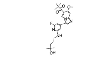 COc1cc2ncc(-c3cc(F)nc(NCCCC(C)(C)O)c3)n2cc1S(=O)(=O)C(C)(C)C